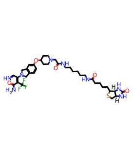 N=C/C(=C(\C(N)=O)C(F)(F)F)N1Cc2ccc(OC3CCN(CC(=O)NCCCCCCNC(=O)CCCCC4SC[C@@H]5NC(=O)N[C@H]45)CC3)cc2C1